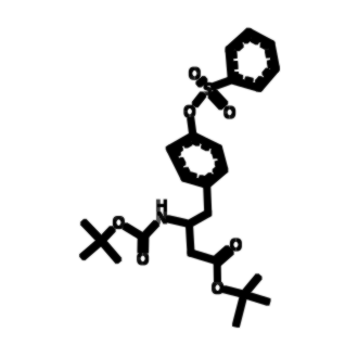 CC(C)(C)OC(=O)CC(Cc1ccc(OS(=O)(=O)c2ccccc2)cc1)NC(=O)OC(C)(C)C